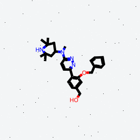 CN(c1ccc(-c2ccc(CO)cc2OCc2ccccc2)nn1)C1CC(C)(C)NC(C)(C)C1